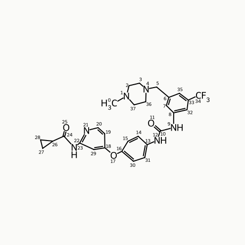 CN1CCN(Cc2cc(NC(=O)Nc3ccc(Oc4ccnc(NC(=O)C5CC5)c4)cc3)cc(C(F)(F)F)c2)CC1